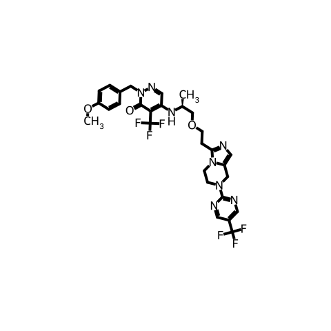 COc1ccc(Cn2ncc(N[C@@H](C)COCCc3ncc4n3CCN(c3ncc(C(F)(F)F)cn3)C4)c(C(F)(F)F)c2=O)cc1